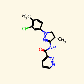 Cc1ccc(N2C[C@H](C)C(NC(=O)c3cccnn3)=N2)cc1Cl